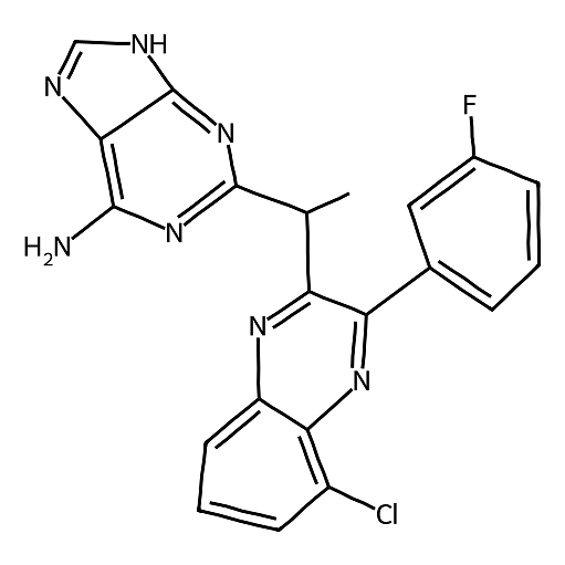 CC(c1nc(N)c2nc[nH]c2n1)c1nc2cccc(Cl)c2nc1-c1cccc(F)c1